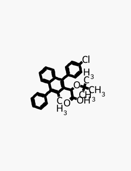 Cc1c(C(OC(C)(C)C)C(=O)O)c(-c2ccc(Cl)cc2)c2ccccc2c1-c1ccccc1